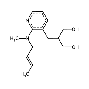 CC=CCN(C)c1ncccc1CC(CO)CO